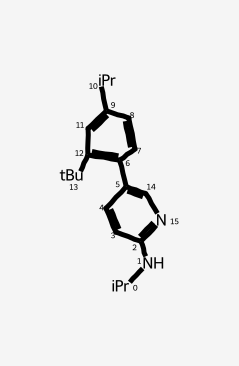 CC(C)Nc1ccc(-c2ccc(C(C)C)cc2C(C)(C)C)cn1